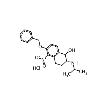 CC(C)N[C@@H]1CCc2c(ccc(OCc3ccccc3)c2[N+](=O)[O-])[C@H]1O.Cl